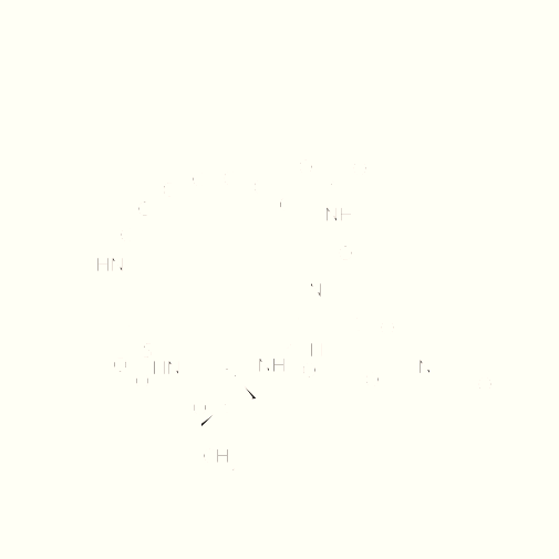 C=C[C@@H]1C[C@@]12NC(=O)[C@@H]1C[C@@H](OC(=O)N3CCOCC3)CN1C(=O)[C@@H](NC(=O)OC1CCCC1)CCCCCCCNc1ccccc1S(=O)(=O)NC2=O